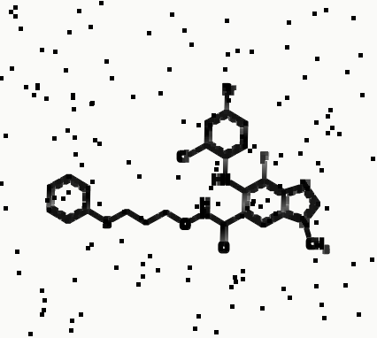 Cn1cnc2c(F)c(Nc3ccc(Br)cc3Cl)c(C(=O)NOCCCSc3ccccc3)cc21